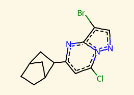 Clc1cc(C2CC3CCC2C3)nc2c(Br)cnn12